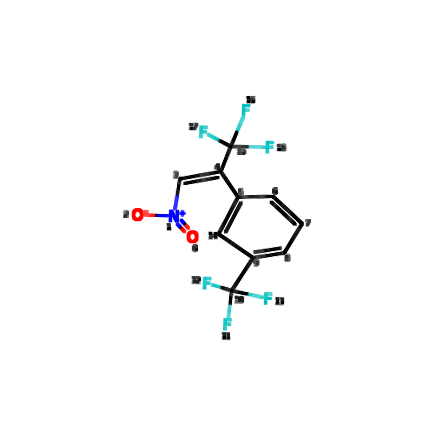 O=[N+]([O-])/C=C(\c1cccc(C(F)(F)F)c1)C(F)(F)F